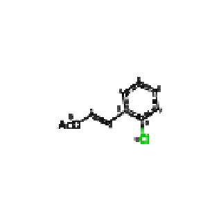 CC(=O)O/C=C/c1ccccc1Cl